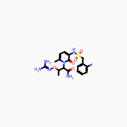 Cc1ccc(NS(=O)(=O)Cc2ccccc2I)c(=O)n1C(C(N)=O)C(C)ON=C(N)N